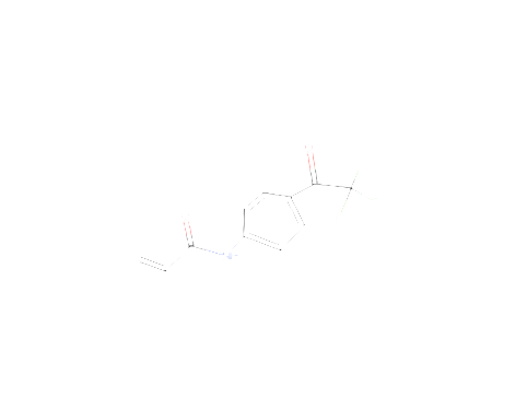 C=CC(=O)Nc1ccc(C(=O)C(F)(F)F)cc1